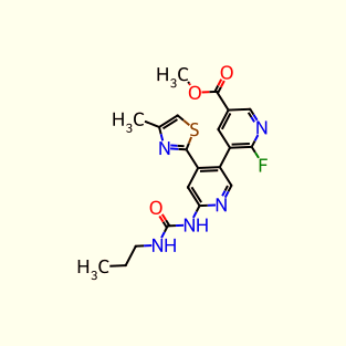 CCCNC(=O)Nc1cc(-c2nc(C)cs2)c(-c2cc(C(=O)OC)cnc2F)cn1